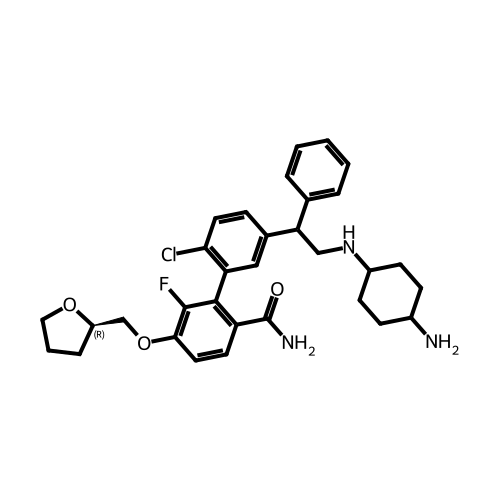 NC(=O)c1ccc(OC[C@H]2CCCO2)c(F)c1-c1cc(C(CNC2CCC(N)CC2)c2ccccc2)ccc1Cl